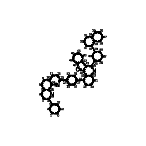 c1ccc(-c2ccc3ccc4ccc(-c5ccc(-c6cccc7nc(-c8cccc(-c9cccc%10ccccc9%10)c8)c8c9ccccc9oc8c67)cc5)nc4c3n2)cc1